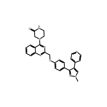 Cn1cc(-c2ccncc2)c(-c2ccc(OCc3nc(N4CCNC(=O)C4)c4ccccc4n3)cc2)n1